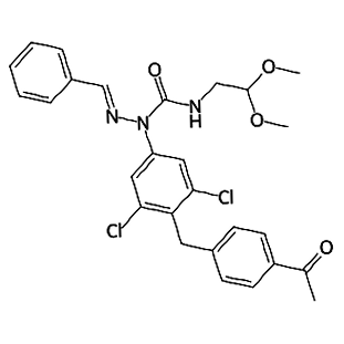 COC(CNC(=O)N(N=Cc1ccccc1)c1cc(Cl)c(Cc2ccc(C(C)=O)cc2)c(Cl)c1)OC